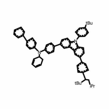 CC(C)CC(c1ccc(-c2ccc3c(c2)c2cc(-c4ccc(N(c5ccc(-c6ccccc6)cc5)C5C=CC=CC5)cc4)ccc2n3-c2ccc(C(C)(C)C)cc2)cc1)C(C)(C)C